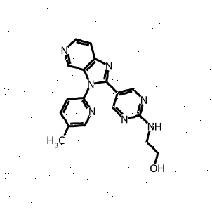 Cc1ccc(-n2c(-c3cnc(NCCO)nc3)nc3ccncc32)nc1